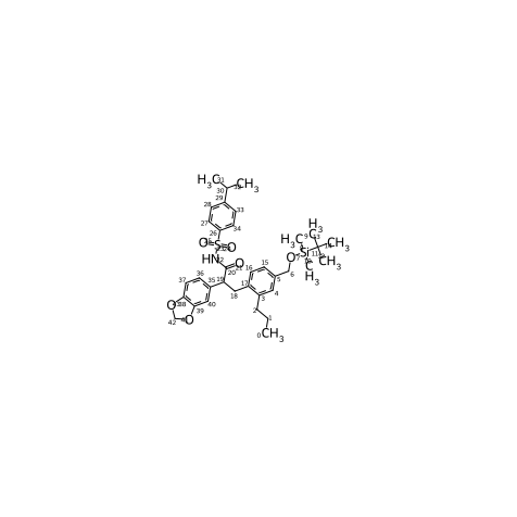 CCCc1cc(CO[Si](C)(C)C(C)(C)C)ccc1CC(C(=O)NS(=O)(=O)c1ccc(C(C)C)cc1)c1ccc2c(c1)OCO2